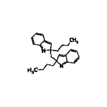 CCCCC1(CC2(CCCC)C=c3ccccc3=N2)C=c2ccccc2=N1